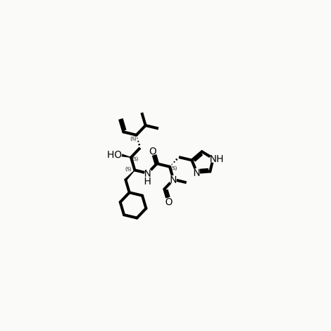 C=C[C@@H](C[C@H](O)[C@H](CC1CCCCC1)NC(=O)[C@H](Cc1c[nH]cn1)N(C)C=O)C(C)C